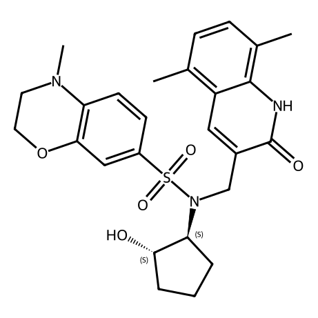 Cc1ccc(C)c2[nH]c(=O)c(CN([C@H]3CCC[C@@H]3O)S(=O)(=O)c3ccc4c(c3)OCCN4C)cc12